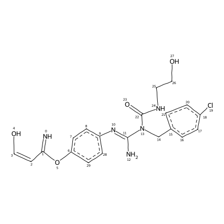 N=C(/C=C\O)Oc1ccc(/N=C(\N)N(Cc2ccc(Cl)cc2)C(=O)NCCO)cc1